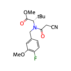 COC(=O)[C@@H](N(Cc1ccc(F)c(OC)c1)C(=O)CC#N)C(C)(C)C